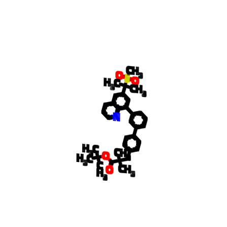 CC(C)(C)OC(=O)C(C)(C)Cc1ccc(-c2cccc(-c3cc(C(C)(C)S(C)(=O)=O)cc4cccnc34)c2)cc1